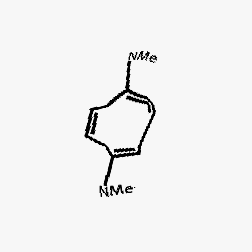 C[N]c1ccc(NC)cc1